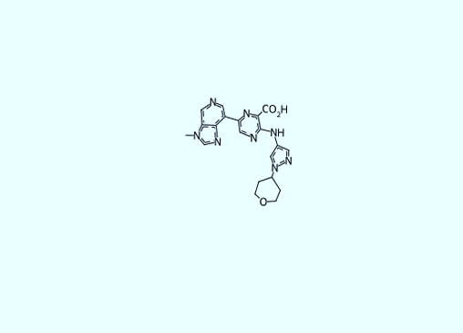 Cn1cnc2c(-c3cnc(Nc4cnn(C5CCOCC5)c4)c(C(=O)O)n3)cncc21